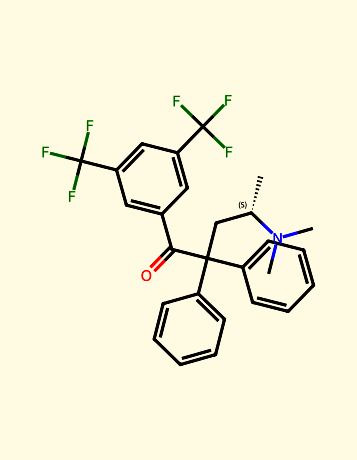 C[C@@H](CC(C(=O)c1cc(C(F)(F)F)cc(C(F)(F)F)c1)(c1ccccc1)c1ccccc1)N(C)C